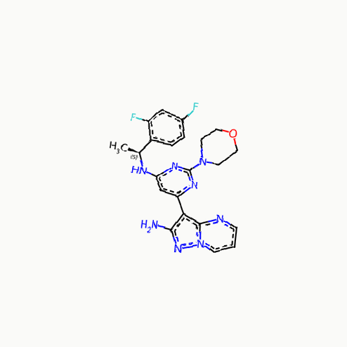 C[C@H](Nc1cc(-c2c(N)nn3cccnc23)nc(N2CCOCC2)n1)c1ccc(F)cc1F